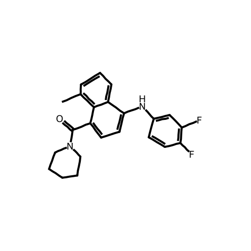 Cc1cccc2c(Nc3ccc(F)c(F)c3)ccc(C(=O)N3CCCCC3)c12